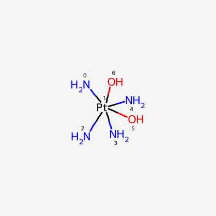 [NH2][Pt]([NH2])([NH2])([NH2])([OH])[OH]